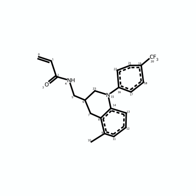 C=CC(=O)NCC1Cc2c(C)cccc2N(c2ccc(C(F)(F)F)cc2)C1